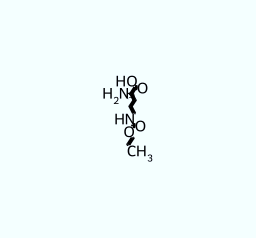 CCCOC(=O)NCCC[C@H](N)C(=O)O